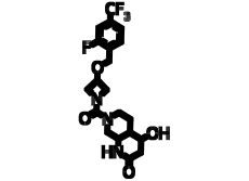 O=C1CC(O)C2CCN(C(=O)N3CC(OCc4ccc(C(F)(F)F)cc4F)C3)CC2N1